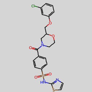 O=C(c1ccc(S(=O)(=O)Nc2nccs2)cc1)N1CCOC(COc2cccc(Cl)c2)C1